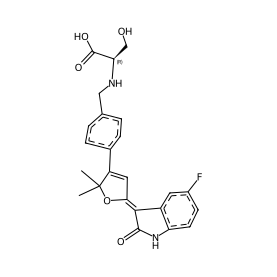 CC1(C)OC(=C2C(=O)Nc3ccc(F)cc32)C=C1c1ccc(CN[C@H](CO)C(=O)O)cc1